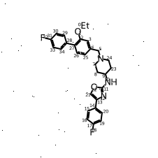 CCOc1cc(CN2CCC(Nc3nc(-c4ccc(F)cc4)co3)CC2)ccc1-c1ccc(F)cc1